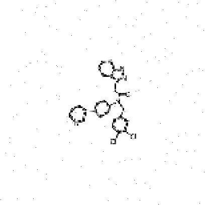 O=C(Cn1nnc2ccccc21)N(Cc1ccc(Cl)c(Cl)c1)c1ccc(-c2cccnc2)cc1